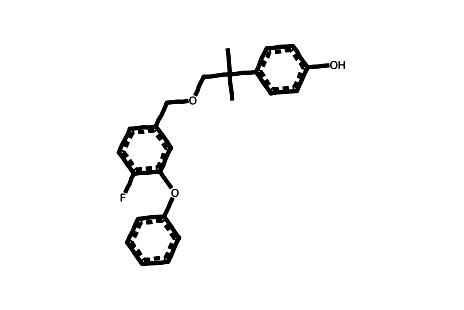 CC(C)(COCc1ccc(F)c(Oc2ccccc2)c1)c1ccc(O)cc1